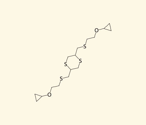 C(CSCC1CSC(CSCCOC2CC2)CS1)OC1CC1